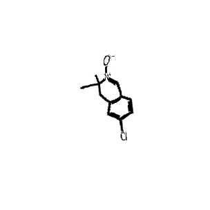 CC1(C)Cc2cc(Cl)ccc2C=[N+]1[O-]